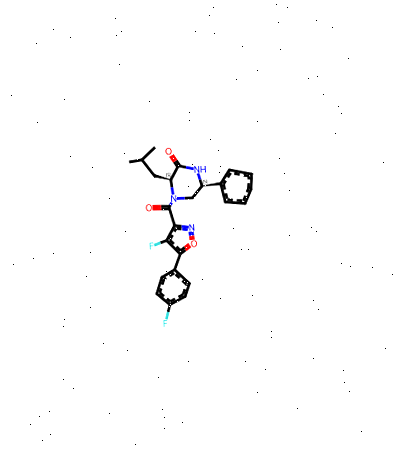 CC(C)C[C@H]1C(=O)N[C@@H](c2ccccc2)CN1C(=O)c1noc(-c2ccc(F)cc2)c1F